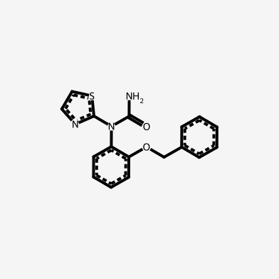 NC(=O)N(c1nccs1)c1ccccc1OCc1ccccc1